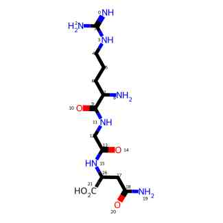 N=C(N)NCCCC(N)C(=O)NCC(=O)NC(CC(N)=O)C(=O)O